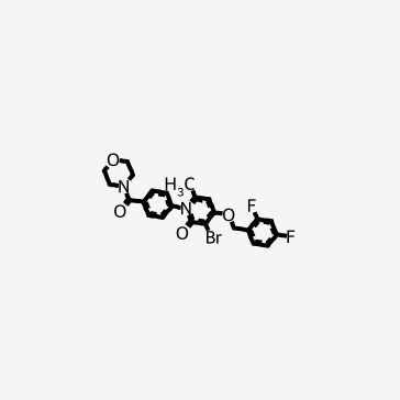 Cc1cc(OCc2ccc(F)cc2F)c(Br)c(=O)n1-c1ccc(C(=O)N2CCOCC2)cc1